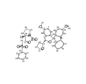 COc1ccc(C(OC[C@H]2OCC[C@@H]2O[P@@]2O[C@H](CS(=O)(=O)c3ccccc3)[C@@H]3CCCN32)(c2ccccc2)c2ccc(OC)cc2)cc1